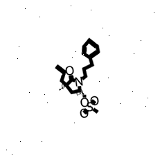 C=CC[C@]1(C)C[C@@H](COS(C)(=O)=O)N(CCCc2ccccc2)C1=O